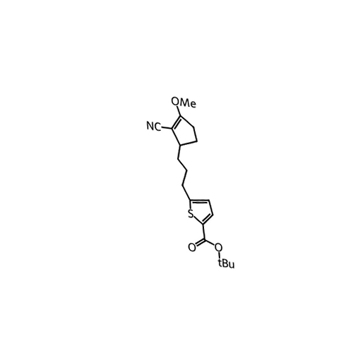 COC1=C(C#N)C(CCCc2ccc(C(=O)OC(C)(C)C)s2)CC1